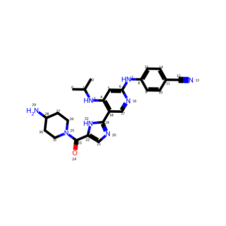 CC(C)Nc1cc(Nc2ccc(C#N)cc2)ncc1-c1ncc(C(=O)N2CCC(N)CC2)[nH]1